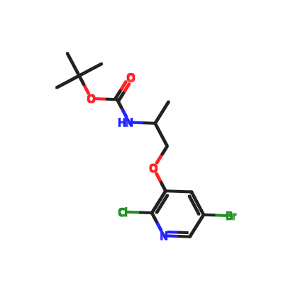 CC(COc1cc(Br)cnc1Cl)NC(=O)OC(C)(C)C